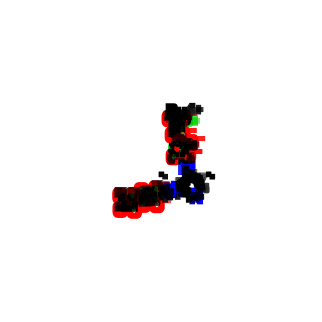 [N].[N].[N].[N].[N].[O-][Cl+3]([O-])([O-])[O-].[O-][Cl+3]([O-])([O-])[O-].[O-][Cl+3]([O-])([O-])[O-].[O-][Cl+3]([O-])([O-])[O-].[Ru+4].c1ccncc1